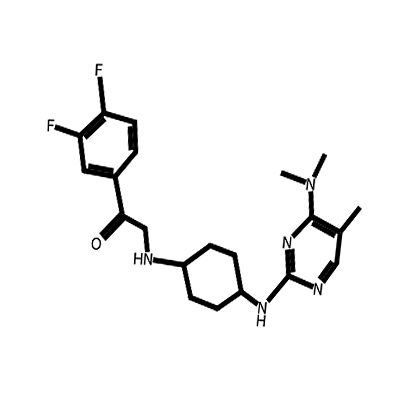 Cc1cnc(NC2CCC(NCC(=O)c3ccc(F)c(F)c3)CC2)nc1N(C)C